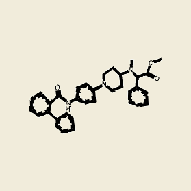 COC(=O)C(c1ccccc1)N(C)C1CCN(c2ccc(NC(=O)c3ccccc3-c3ccccc3)cc2)CC1